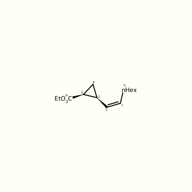 CCCCCC/C=C\[C@@H]1C[C@@H]1C(=O)OCC